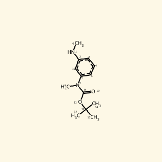 CNc1cccc(N(C)C(=O)OC(C)(C)C)c1